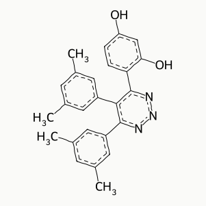 Cc1cc(C)cc(-c2nnnc(-c3ccc(O)cc3O)c2-c2cc(C)cc(C)c2)c1